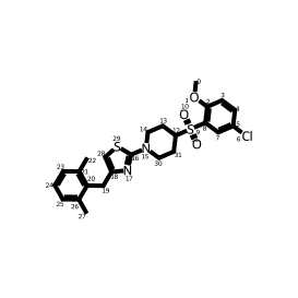 COc1ccc(Cl)cc1S(=O)(=O)C1CCN(c2nc(Cc3c(C)cccc3C)cs2)CC1